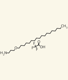 CCCCCCCCCCCCCCCCCCOCCCN.O=C(O)C(F)(F)F